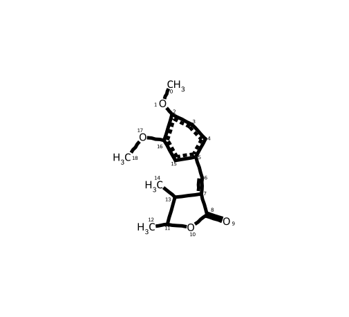 COc1ccc(C=C2C(=O)OC(C)C2C)cc1OC